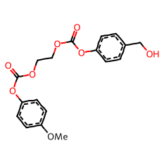 COc1ccc(OC(=O)OCCOC(=O)Oc2ccc(CO)cc2)cc1